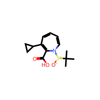 CC(C)(C)[S+]([O-])N1C=CC=CC(C2CC2)=C1C(=O)O